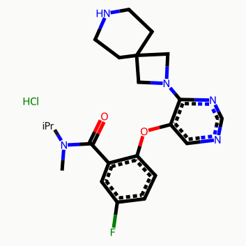 CC(C)N(C)C(=O)c1cc(F)ccc1Oc1cncnc1N1CC2(CCNCC2)C1.Cl